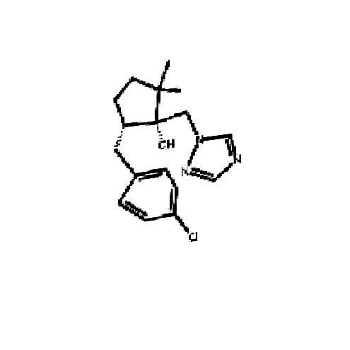 CC1(C)CC[C@@H](Cc2ccc(Cl)cc2)[C@]1(O)Cn1cncn1